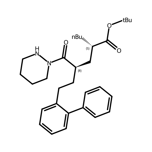 CCCC[C@@H](C[C@@H](CCc1ccccc1-c1ccccc1)C(=O)N1CCCCN1)C(=O)OC(C)(C)C